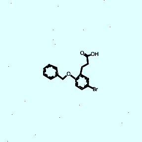 O=C(O)CCc1cc(Br)ccc1OCc1ccccc1